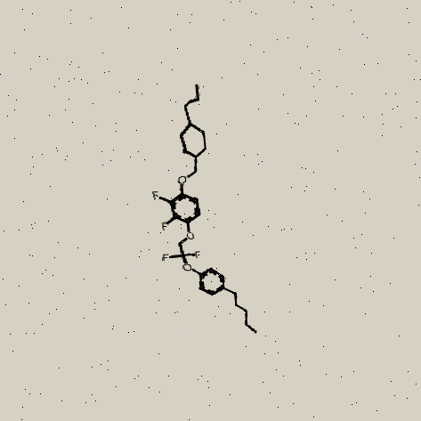 CCCCCc1ccc(OC(F)(F)COc2ccc(OCC3CCC(CCC)CC3)c(F)c2F)cc1